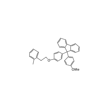 COc1ccc(C2(c3ccc(OCCc4ccccc4C)cc3)c3ccccc3-c3ccccc32)cc1